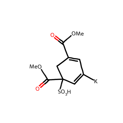 COC(=O)C1=C[C]([K])=CC(C(=O)OC)(S(=O)(=O)O)C1